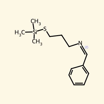 C[Si](C)(C)SCCC/N=C\c1ccccc1